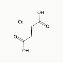 O=C(O)C=CC(=O)O.[Cd]